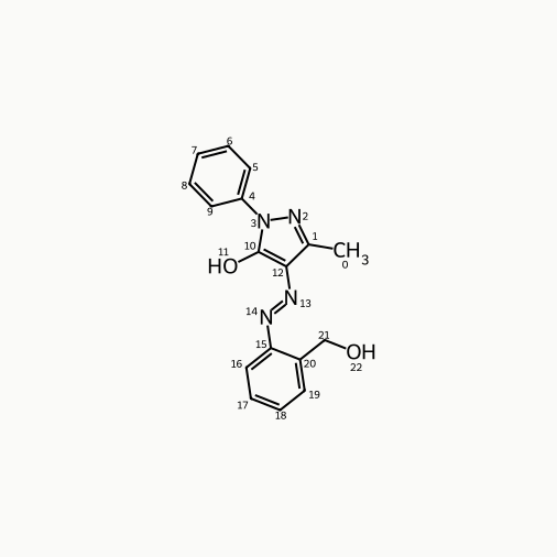 Cc1nn(-c2ccccc2)c(O)c1N=Nc1ccccc1CO